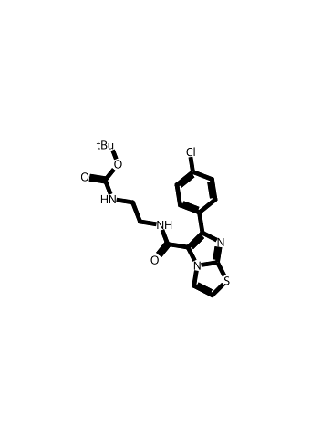 CC(C)(C)OC(=O)NCCNC(=O)c1c(-c2ccc(Cl)cc2)nc2sccn12